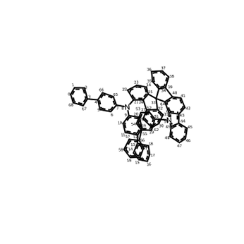 c1ccc(-c2ccc(N(c3ccc(-c4ccccc4)cc3)c3cccc4c3-c3ccccc3C43c4ccccc4-c4ccc5c6ccccc6n(-c6cccc(-c7ccccc7)c6)c5c43)cc2)cc1